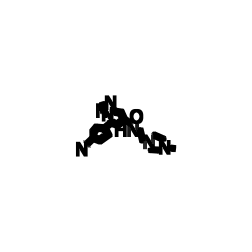 CN1CCN(CCNC(=O)c2cc(-c3ccc(C#N)cc3)n3ncnc3c2)CC1